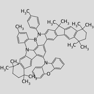 Cc1ccc(N2B3c4cc(C)ccc4-n4c5cc6c(cc5c5c(N7c8ccccc8Oc8ccccc87)cc(c3c54)-c3cc4c(cc32)C(C)(C)c2cc3c(cc2-4)C(C)(C)CCC3(C)C)C(C)(C)CCC6(C)C)cc1